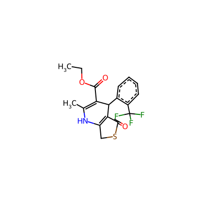 CCOC(=O)C1=C(C)NC2=C(C(=O)SC2)C1c1ccccc1C(F)(F)F